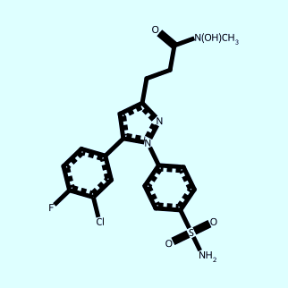 CN(O)C(=O)CCc1cc(-c2ccc(F)c(Cl)c2)n(-c2ccc(S(N)(=O)=O)cc2)n1